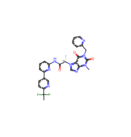 C[C@@H](C(=O)Nc1cccc(-c2ccc(C(C)(F)F)nc2)n1)n1cnc2c1c(=O)n(Cc1ccccn1)c(=O)n2C